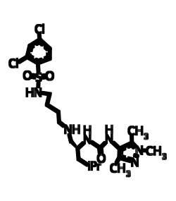 Cc1nn(C)c(C)c1NC(=O)N[C@H](CNCCCCNS(=O)(=O)c1ccc(Cl)cc1Cl)CC(C)C